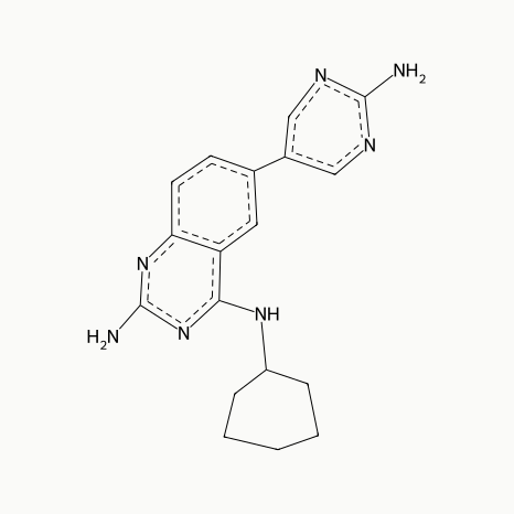 Nc1ncc(-c2ccc3nc(N)nc(NC4CCCCC4)c3c2)cn1